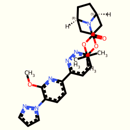 COc1nc(-c2ccc(OC3C[C@H]4CC[C@@H](C3)N4C(=O)OC(C)(C)C)nn2)ccc1-n1cccn1